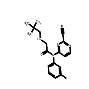 CC(C)(C)CNCC(=O)N(c1cccc(F)c1)c1ccnc(C#N)n1